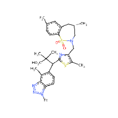 CCn1nnc2c(C)c(C(c3nc(CN4C[C@@H](C)Cc5cc(C(F)(F)F)ccc5S4(=O)=O)c(C)s3)C(C)(C)C(=O)O)ccc21